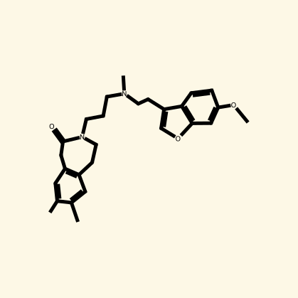 COc1ccc2c(CCN(C)CCCN3CCc4cc(C)c(C)cc4CC3=O)coc2c1